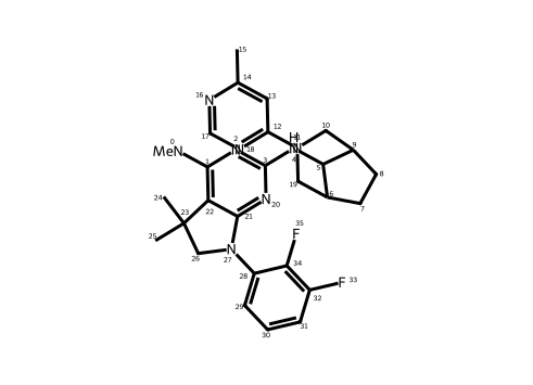 CNc1nc(NC2C3CCC2CN(c2cc(C)ncn2)C3)nc2c1C(C)(C)CN2c1cccc(F)c1F